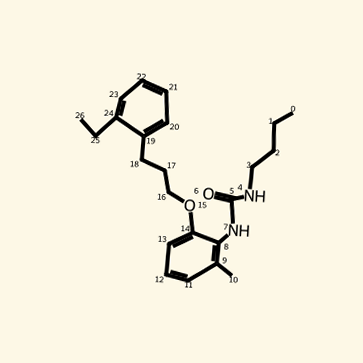 CCCCNC(=O)Nc1c(C)cccc1OCCCc1ccccc1CC